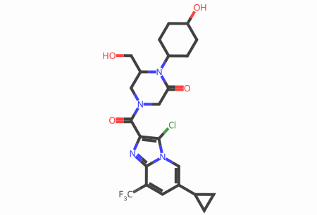 O=C(c1nc2c(C(F)(F)F)cc(C3CC3)cn2c1Cl)N1CC(=O)N(C2CCC(O)CC2)C(CO)C1